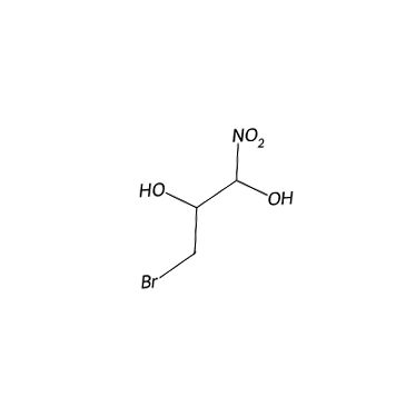 O=[N+]([O-])C(O)C(O)CBr